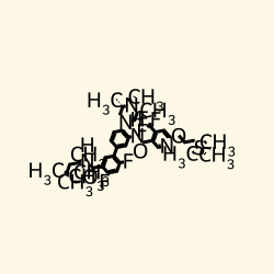 C[C@@H]1CN(c2ccc(-c3cc(C(=O)NC(C)(C)CC(C)(C)C)c(F)cc3F)cc2NC(=O)c2cnc(OCCS(C)(C)C)cc2C(F)(F)F)C[C@H](C)N1C